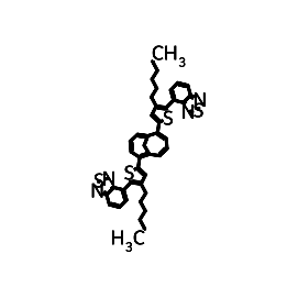 CCCCCCc1cc(C2=CC=CC3=C(c4cc(CCCCCC)c(-c5cccc6nsnc56)s4)C=CC=C2C3)sc1-c1cccc2nsnc12